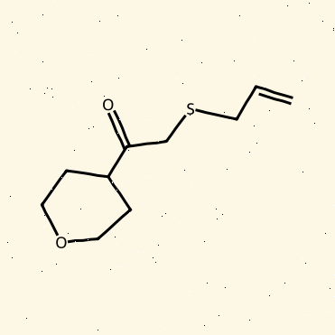 C=CCSCC(=O)C1CCOCC1